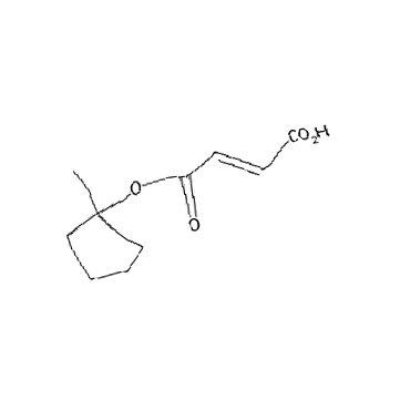 CC1(OC(=O)/C=C/C(=O)O)CCCC1